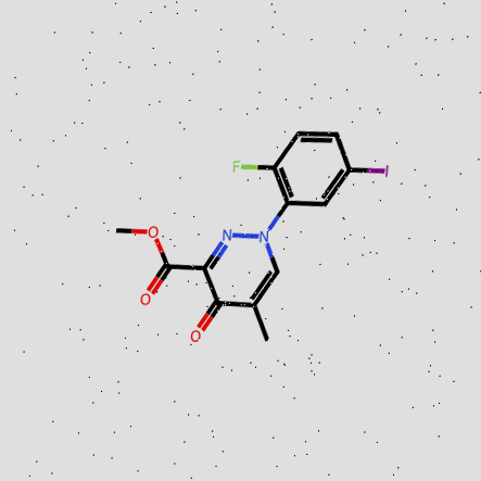 COC(=O)c1nn(-c2cc(I)ccc2F)cc(C)c1=O